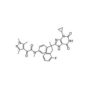 Cc1nn(C)c(C)c1C(=O)C(=O)N(C)c1ccc(C(C)(Cc2ccccc2F)c2nc3c([nH]2)c(=O)[nH]c(=O)n3C2CC2)cc1